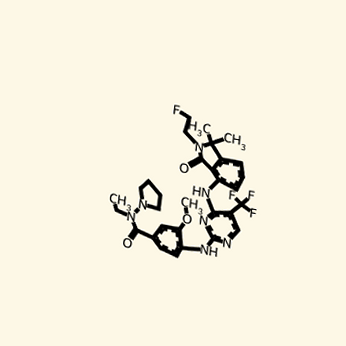 CCN(C(=O)c1ccc(Nc2ncc(C(F)(F)F)c(Nc3cccc4c3C(=O)N(CCF)C4(C)C)n2)c(OC)c1)N1CCCC1